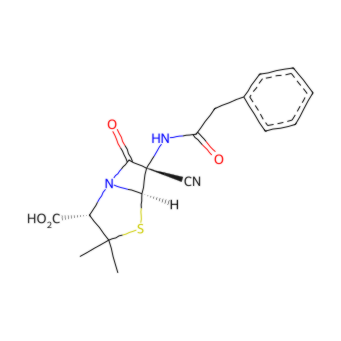 CC1(C)S[C@H]2N(C(=O)[C@]2(C#N)NC(=O)Cc2ccccc2)[C@H]1C(=O)O